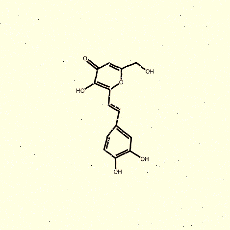 O=c1cc(CO)oc(C=Cc2ccc(O)c(O)c2)c1O